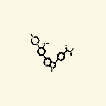 CNc1cc(-c2cnc3[nH]cc(-c4ccc(C(=O)N(C)C)cc4)c3c2)ccc1N1CCN(C)CC1